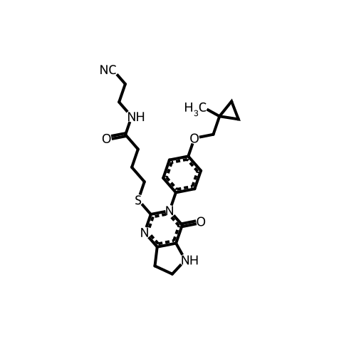 CC1(COc2ccc(-n3c(SCCCC(=O)NCCC#N)nc4c(c3=O)NCC4)cc2)CC1